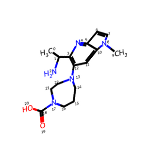 CC(N)c1nc2ccn(C)c2cc1N1CCCN(C(=O)O)CC1